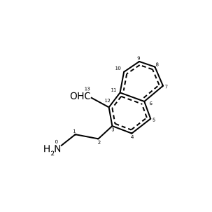 NCCc1ccc2ccccc2c1C=O